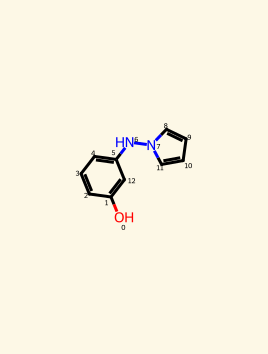 Oc1cccc(Nn2cccc2)c1